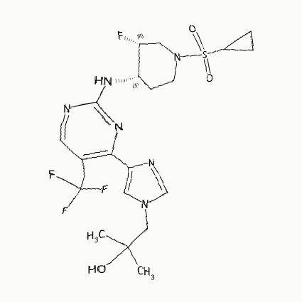 CC(C)(O)Cn1cnc(-c2nc(N[C@H]3CCN(S(=O)(=O)C4CC4)C[C@H]3F)ncc2C(F)(F)F)c1